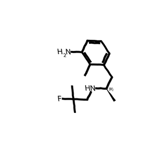 Cc1c(N)cccc1C[C@@H](C)NCC(C)(C)F